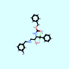 O=C(N[C@H]([C@H](O)CNCc1cccc(I)c1)C(F)(F)c1ccccc1)OCc1ccccc1